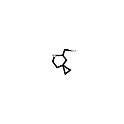 O=NCC1CC2(CCN1)CC2